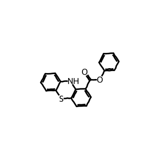 O=C(Oc1ccccc1)c1cccc2c1Nc1ccccc1S2